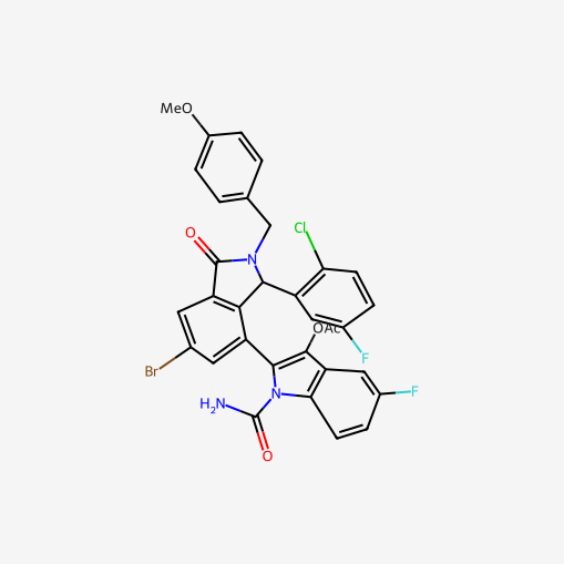 COc1ccc(CN2C(=O)c3cc(Br)cc(-c4c(OC(C)=O)c5cc(F)ccc5n4C(N)=O)c3C2c2cc(F)ccc2Cl)cc1